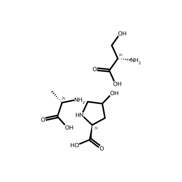 C[C@H](N)C(=O)O.N[C@@H](CO)C(=O)O.O=C(O)[C@@H]1CC(O)CN1